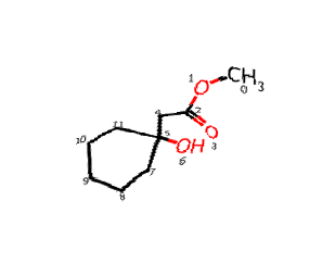 COC(=O)CC1(O)CCCCC1